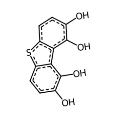 Oc1ccc2sc3ccc(O)c(O)c3c2c1O